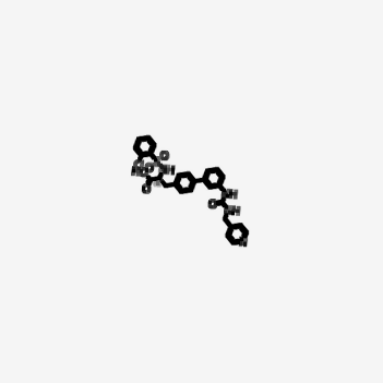 O=C(NCc1ccncc1)Nc1cccc(-c2ccc(C[C@H](NS(=O)(=O)c3ccccc3Cl)C(=O)O)cc2)c1